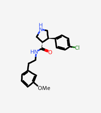 COc1cccc(CCNC(=O)[C@@H]2CNC[C@H]2c2ccc(Cl)cc2)c1